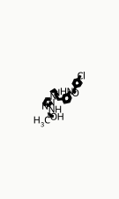 C[C@H](O)CNc1nccc(-n2ccnc2Cc2cccc(NC(=O)c3ccc(Cl)cc3)c2)n1